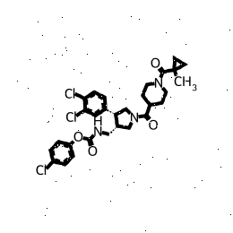 CC1(C(=O)N2CCC(C(=O)N3C[C@H](CNC(=O)Oc4ccc(Cl)cc4)[C@H](c4ccc(Cl)c(Cl)c4)C3)CC2)CC1